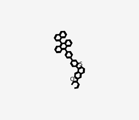 C/C=C\c1c(C)oc2cc3c(ccc4sc5cc(-c6ccc(-c7c8ccccc8c(-c8cccc9ccccc89)c8ccccc78)cc6)ccc5c43)cc12